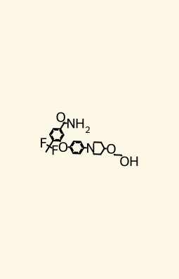 CC(F)(F)c1ccc(C(N)=O)cc1Oc1ccc(N2CCC(OCCO)CC2)cc1